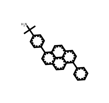 CC(C)(N)c1ccc(-c2ccc3ccc4c(-c5ccccc5)ccc5ccc2c3c54)cc1